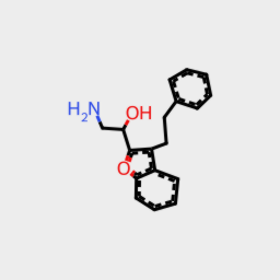 NCC(O)c1oc2ccccc2c1CCc1ccccc1